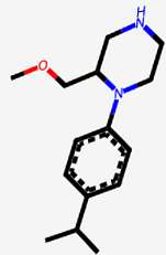 COCC1CNCCN1c1ccc(C(C)C)cc1